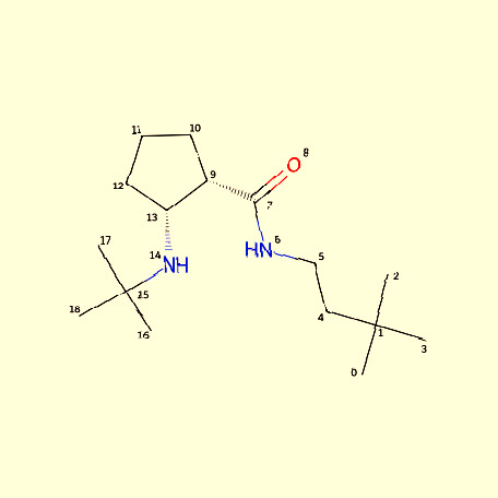 CC(C)(C)CCNC(=O)[C@H]1CCC[C@H]1NC(C)(C)C